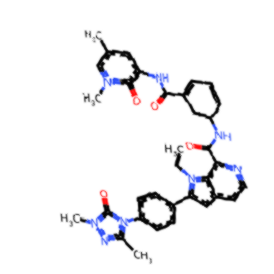 CCn1c(-c2ccc(-n3c(C)nn(C)c3=O)cc2)cc2ccnc(C(=O)NC3C=CC=C(C(=O)Nc4cc(C)cn(C)c4=O)C3)c21